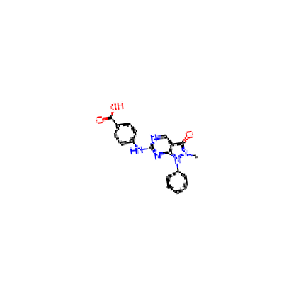 Cn1c(=O)c2cnc(Nc3ccc(C(=O)O)cc3)nc2n1-c1ccccc1